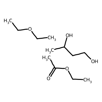 CC(O)CCO.CCOC(C)=O.CCOCC